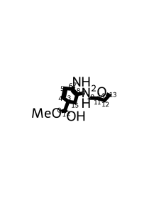 COC(O)C1C=CC(N)=C(NCC2CCO2)C1